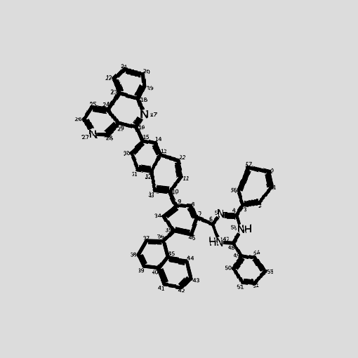 c1ccc(C2=NC(c3cc(-c4ccc5cc(-c6nc7ccccc7c7ccncc67)ccc5c4)cc(-c4cccc5ccccc45)c3)NC(c3ccccc3)N2)cc1